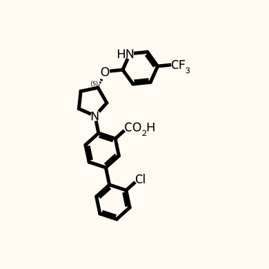 O=C(O)c1cc(-c2ccccc2Cl)ccc1N1CC[C@H](OC2C=CC(C(F)(F)F)=CN2)C1